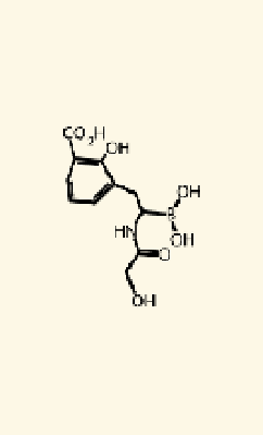 O=C(CO)NC(Cc1cccc(C(=O)O)c1O)B(O)O